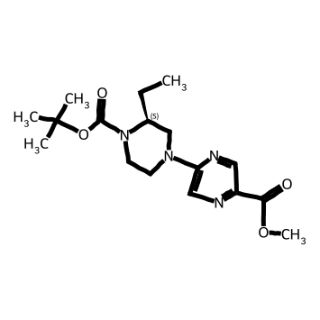 CC[C@H]1CN(c2cnc(C(=O)OC)cn2)CCN1C(=O)OC(C)(C)C